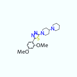 COc1ccc(-c2nnc(N3CCC(N4CCCCC4)CC3)s2)c(OC)c1